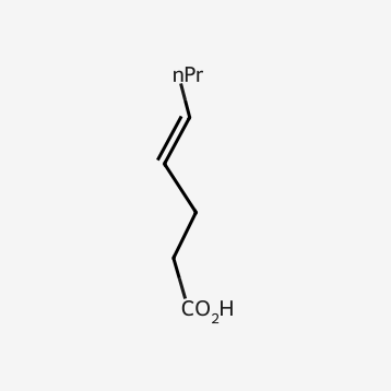 [CH2]CCC=CCCC(=O)O